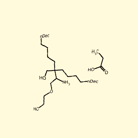 CCC(=O)O.CCCCCCCCCCCCCCC(CO)(CCCCCCCCCCCCCC)C(N)COCCO